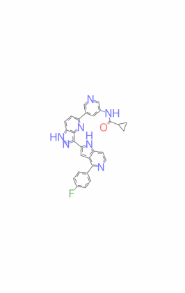 O=C(Nc1cncc(-c2ccc3[nH]nc(-c4cc5c(-c6ccc(F)cc6)nccc5[nH]4)c3n2)c1)C1CC1